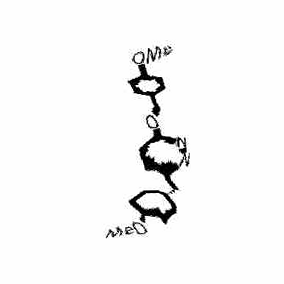 COc1ccc(COc2ccc(C[C@H]3CC[C@H](OC)CC3)nn2)cc1